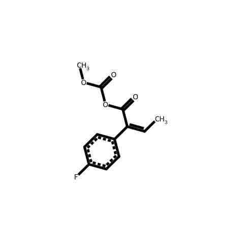 CC=C(C(=O)OC(=O)OC)c1ccc(F)cc1